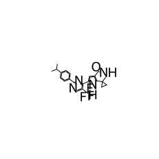 CC(C)c1ccc(-c2ncc(C(F)(F)F)c(-c3cc4c([nH]3)C3(CC3)CNC4=O)n2)cc1